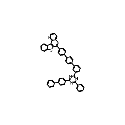 c1ccc(-c2ccc(-c3nc(-c4ccccc4)nc(-c4cccc(-c5ccc(-c6ccc(-c7nc8cccnc8c8c7sc7ccccc78)cc6)cc5)c4)n3)cc2)cc1